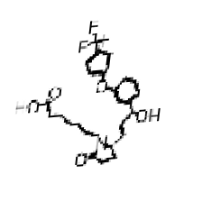 O=C(O)CCCCCCN1C(=O)CC[C@@H]1C=CC(O)c1cccc(Oc2ccc(C(F)(F)F)cc2)c1